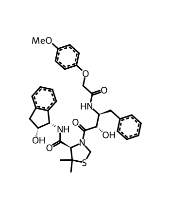 COc1ccc(OCC(=O)N[C@@H](Cc2ccccc2)[C@H](O)C(=O)N2CSC(C)(C)[C@H]2C(=O)N[C@H]2c3ccccc3C[C@H]2O)cc1